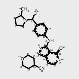 CC1CCCN1C(c1ccc(Nc2nn([C@H]3COCCC3C#N)c3cc[nH]c(=O)c23)cc1)C(F)(F)F